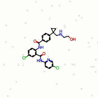 O=C(Nc1ccc(Cl)cc1C(=O)Nc1ccc(Cl)cn1)c1ccc(C2(CNCCO)CC2)cc1